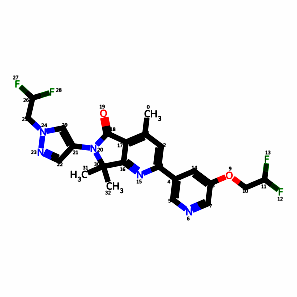 Cc1cc(-c2cncc(OCC(F)F)c2)nc2c1C(=O)N(c1cnn(CC(F)F)c1)C2(C)C